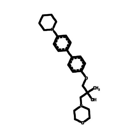 CC(O)(COc1ccc(-c2ccc(N3CCCCC3)cc2)cc1)CN1CCOCC1